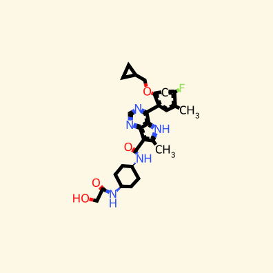 Cc1cc(-c2ncnc3c(C(=O)N[C@H]4CC[C@H](NC(=O)CO)CC4)c(C)[nH]c23)c(OCC2CC2)cc1F